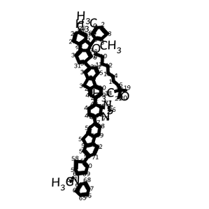 Cc1ccc(C)c(C2(OCCCCCCCCC3(C)COC3)c3cc(C)ccc3-c3ccc(-c4ccc5c(c4)Cc4cc(-c6ccc(-c7ccc8c(c7)Cc7cc(-c9ccc(N(C)c%10ccccc%10)cc9)ccc7-8)c7nsnc67)ccc4-5)cc32)c1